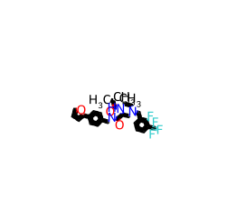 CC(C)C(=O)N1C(C)CN(Cc2cccc(C(F)(F)F)c2F)CC1C(=O)NCc1ccc(-c2ccco2)cc1